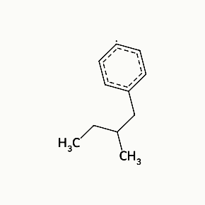 CCC(C)Cc1cc[c]cc1